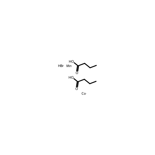 Br.CCCC(=O)O.CCCC(=O)O.[Co].[Mn]